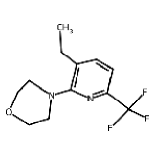 CCc1ccc(C(F)(F)F)nc1N1CCOCC1